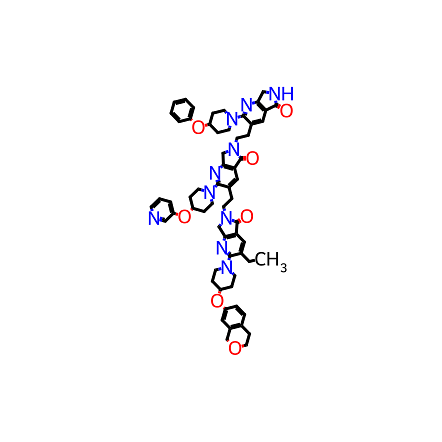 CCc1cc2c(nc1N1CCC(Oc3ccc4c(c3)COCC4)CC1)CN(CCc1cc3c(nc1N1CCC(Oc4cccnc4)CC1)CN(CCc1cc4c(nc1N1CCC(Oc5ccccc5)CC1)CNC4=O)C3=O)C2=O